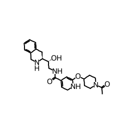 CC(=O)N1CCC(OC2=CC(C(=O)NC[C@@H](O)[C@@H]3Cc4ccccc4CN3)=CCN2)CC1